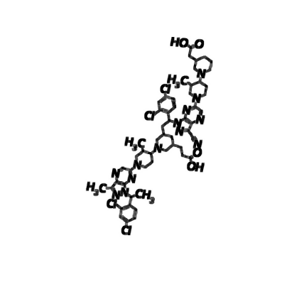 Cc1nn(C(C)c2ccc(Cl)cc2Cl)c2nc(N3CCC(N4CC(CCC(=O)O)CC(CC(c5ccc(Cl)cc5Cl)n5nc(C#N)c6ncc(N7CCC(N8CCCC(CC(=O)O)C8)C(C)C7)nc65)C4)C(C)C3)cnc12